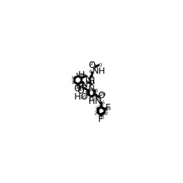 CC(=O)NCCN1C[C@@H]2CCCC(=O)[C@H]2N2C(=O)C3=C(O)CC(C(=O)NCc4ccc(F)cc4F)=CN3C[C@@H]12